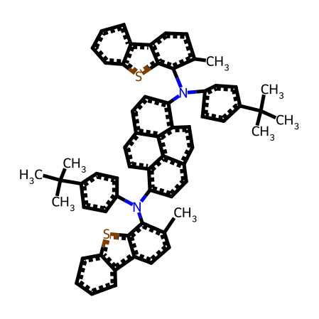 Cc1ccc2c(sc3ccccc32)c1N(c1ccc(C(C)(C)C)cc1)c1ccc2ccc3c(N(c4ccc(C(C)(C)C)cc4)c4c(C)ccc5c4sc4ccccc45)ccc4ccc1c2c43